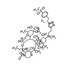 CC[C@H]1OC(O)[C@H](C)[C@@H](C2C[C@@](C)(OC)[C@@H](O)[C@H](C)O2)[C@H](C)[C@@H](O[C@@H]2O[C@H](C)C[C@H](N(C)CCc3cn([C@H](CF)Cc4ccc(S(C)(=O)=O)cc4)nn3)[C@H]2O)[C@](C)(OC)C[C@@H](C)C2=NCCN3C(=O)O[C@@]1(C)[C@H]3[C@H]2C